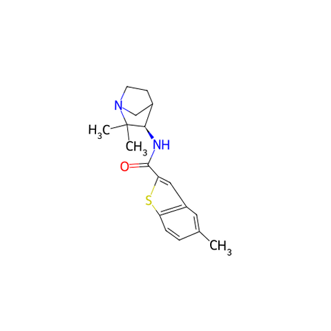 Cc1ccc2sc(C(=O)N[C@@H]3C4CCN(C4)C3(C)C)cc2c1